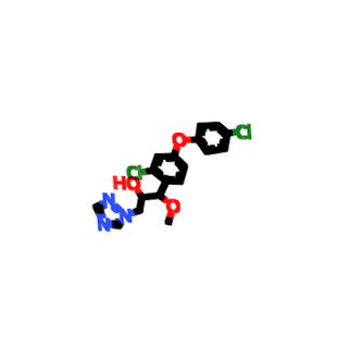 COC(c1ccc(Oc2ccc(Cl)cc2)cc1Cl)C(O)Cn1cncn1